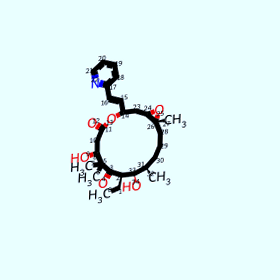 CC[C@H]1C(=O)C(C)(C)C(O)CC(=O)OC(/C=C/c2ccccn2)CC2O[C@]2(C)CCC[C@H](C)[C@@H]1O